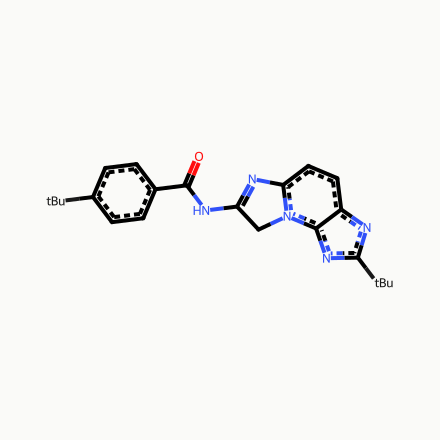 CC(C)(C)c1ccc(C(=O)NC2=Nc3ccc4nc(C(C)(C)C)nc-4n3C2)cc1